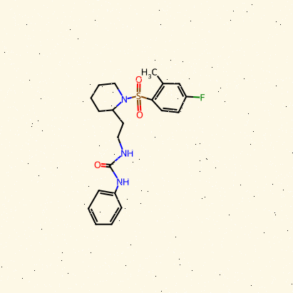 Cc1cc(F)ccc1S(=O)(=O)N1CCCCC1CCNC(=O)Nc1ccccc1